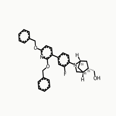 OC[C@H]1C[C@@H]2C[C@H]1CN2c1ccc(-c2ccc(OCc3ccccc3)nc2OCc2ccccc2)cc1F